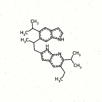 CCc1cc2cc(CC(C)c3cc4[nH]ccc4cc3C(C)C)[nH]c2nc1C(C)C